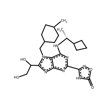 CC1CCC(Cn2c(C(O)CO)nc3nc(-c4noc(=O)[nH]4)nc(N[C@H](C)C4CCC4)c32)CC1